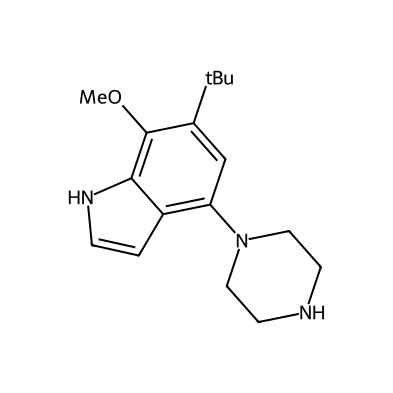 COc1c(C(C)(C)C)cc(N2CCNCC2)c2cc[nH]c12